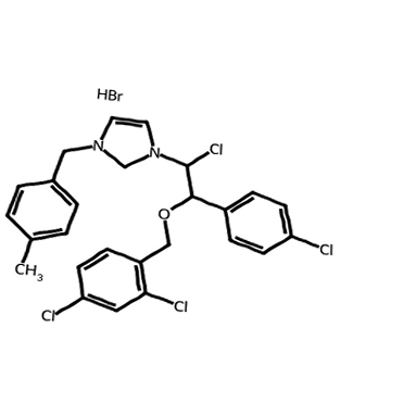 Br.Cc1ccc(CN2C=CN(C(Cl)C(OCc3ccc(Cl)cc3Cl)c3ccc(Cl)cc3)C2)cc1